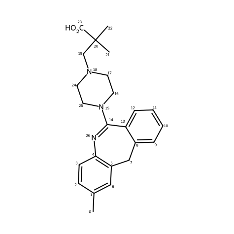 Cc1ccc2c(c1)Cc1ccccc1C(N1CCN(CC(C)(C)C(=O)O)CC1)=N2